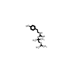 CC(C)OCC(C)(C)OC(=N)NCCc1ccc(O)cc1